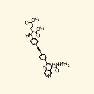 NNC(=O)c1cc(-c2ccc(C#Cc3ccc(NC(CCC(=O)O)C(=O)O)cc3)cc2)nc2ccncc12